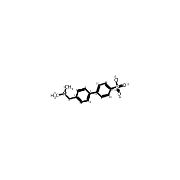 CN(C)Cc1ccc(-c2ccc(S(=O)(=O)Cl)cc2)cc1